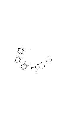 COc1cc(-c2nccc(-c3cccc(NC(=O)c4nc5c(n4C)CCN(C4CCN(C(C)=O)CC4)C5)c3C)c2Cl)cc(F)c1C=O